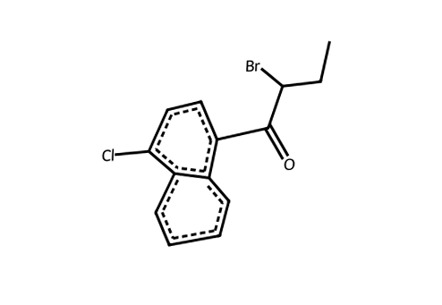 CCC(Br)C(=O)c1ccc(Cl)c2ccccc12